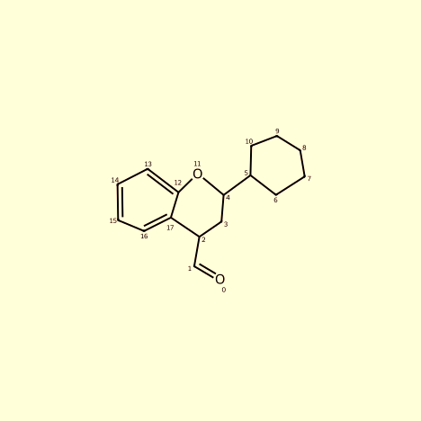 O=CC1CC(C2CCCCC2)Oc2ccccc21